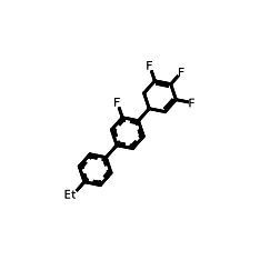 CCc1ccc(-c2ccc(C3C=C(F)C(F)=C(F)C3)c(F)c2)cc1